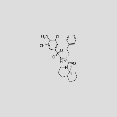 Nc1c(Cl)cc(S(=O)(=O)N[C@H](CCc2ccccc2)C(=O)N2CCCC3CCCC[C@@H]32)cc1Cl